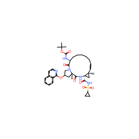 CC(C)(C)OC(=O)N[C@H]1CCCCC/C=C\[C@@H]2C[C@@]2(C(=O)NS(=O)(=O)C2CC2)NC(=O)[C@@H]2CC(Oc3nccc4ccccc34)CN2C1=O